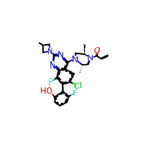 C=CC(=O)N1C[C@H](C)N(c2nc(N3CC(C)C3)nc3c(F)c(-c4c(O)cccc4F)c(Cl)cc23)C[C@H]1C